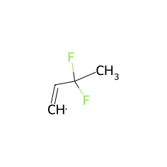 [CH]=CC(C)(F)F